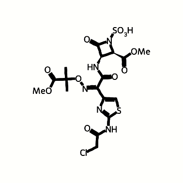 COC(=O)[C@H]1[C@@H](NC(=O)C(=NOC(C)(C)C(=O)OC)c2csc(NC(=O)CCl)n2)C(=O)N1S(=O)(=O)O